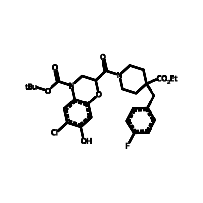 CCOC(=O)C1(Cc2ccc(F)cc2)CCN(C(=O)C2CN(C(=O)OC(C)(C)C)c3cc(Cl)c(O)cc3O2)CC1